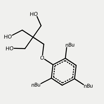 CCCCc1cc(CCCC)c(OCC(CO)(CO)CO)c(CCCC)c1